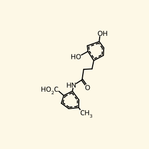 Cc1ccc(C(=O)O)c(NC(=O)CCc2ccc(O)cc2O)c1